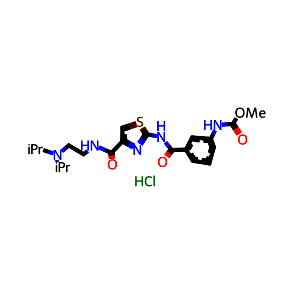 COC(=O)Nc1cccc(C(=O)Nc2nc(C(=O)NCCN(C(C)C)C(C)C)cs2)c1.Cl